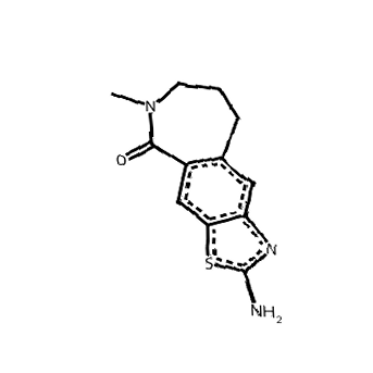 CN1CCCc2cc3nc(N)sc3cc2C1=O